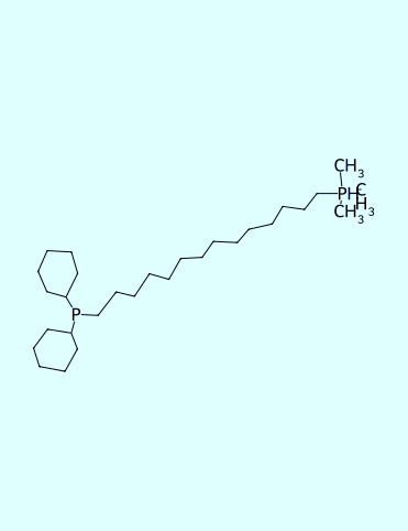 C[PH](C)(C)CCCCCCCCCCCCCCP(C1CCCCC1)C1CCCCC1